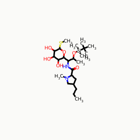 CCCC1CC(C(=O)NC(C(C)O[Si](C)(C)C(C)(C)C)C2OC(SC)C(O)C(O)C2O)N(C)C1